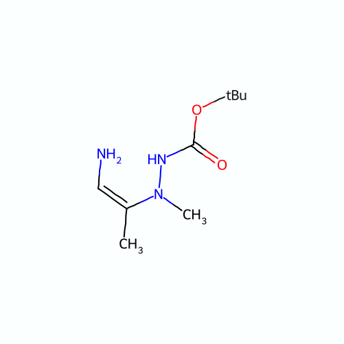 C/C(=C/N)N(C)NC(=O)OC(C)(C)C